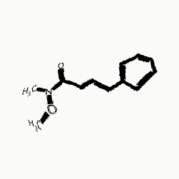 CON(C)C(=O)CC=Cc1ccccc1